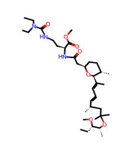 CC[C@H](OC)[C@@H](C)OC(C)(C)C[C@H](C)/C=C/C=C(\C)[C@H]1O[C@@H](CC(=O)N[C@@H](CCNC(=O)N(CC)CC)C(=O)OC)CC[C@@H]1C